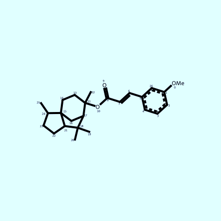 COc1cccc(/C=C/C(=O)OC2(C)CCC34CC2C(C)(C)C3CCC4C)c1